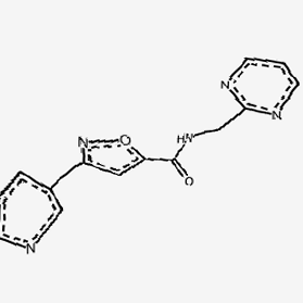 O=C(NCc1ncccn1)c1cc(-c2cccnc2)no1